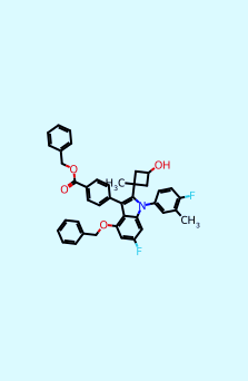 Cc1cc(-n2c(C3(C)CC(O)C3)c(-c3ccc(C(=O)OCc4ccccc4)cc3)c3c(OCc4ccccc4)cc(F)cc32)ccc1F